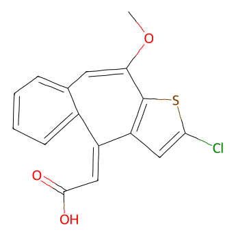 COC1=Cc2ccccc2C(=CC(=O)O)c2cc(Cl)sc21